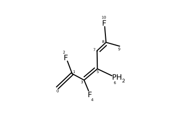 C=C(F)/C(F)=C(P)\C=C(/C)F